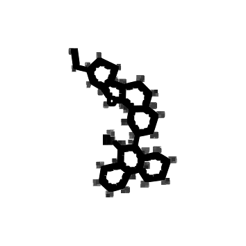 C=Cc1ccc2c(c1)oc1c3cc(-c4c(Br)c5ccccc5c5ccccc45)ccc3ccc21